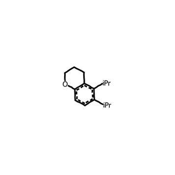 CC(C)c1ccc2c(c1C(C)C)CCCO2